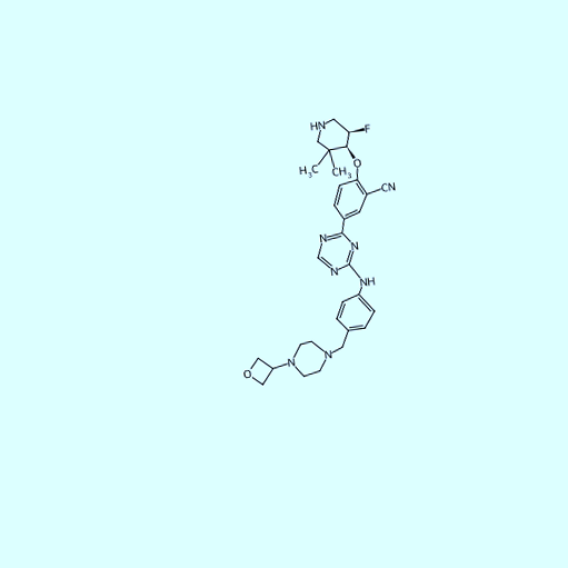 CC1(C)CNC[C@@H](F)[C@H]1Oc1ccc(-c2ncnc(Nc3ccc(CN4CCN(C5COC5)CC4)cc3)n2)cc1C#N